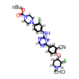 CCCCOC(=O)N1CCN(c2ccc(Nc3ncnc(-c4ccc(O[C@H]5CCN(C=O)C[C@@H]5F)c(C#N)c4)n3)cc2F)CC1